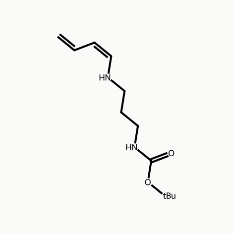 C=C/C=C\NCCCNC(=O)OC(C)(C)C